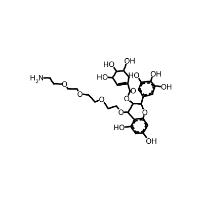 NCCOCCOCCOCCOC1c2c(O)cc(O)cc2OC(c2cc(O)c(O)c(O)c2)C1OC(=O)C1=CC(O)C(O)C(O)C1